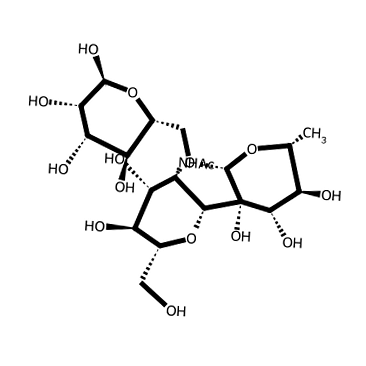 CC(=O)N[C@H]1[C@@H](O)[C@H](O)[C@@H](CO)O[C@H]1[C@@]1(O)[C@H](OC[C@H]2O[C@H](O)[C@@H](O)[C@@H](O)[C@@H]2O)O[C@H](C)[C@@H](O)[C@@H]1O